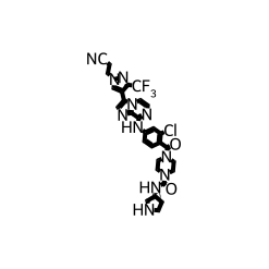 N#CCCn1cc(-c2cnc3c(Nc4ccc(C(=O)N5CCN(C(=O)N[C@H]6CCNC6)CC5)c(Cl)c4)nccn23)c(C(F)(F)F)n1